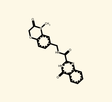 CN1C(=O)COc2ccc(CNC(=O)c3nc4ccccc4c(=O)[nH]3)cc21